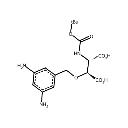 CC(C)(C)OC(=O)N[C@H](C(=O)O)[C@H](OCc1cc(N)cc(N)c1)C(=O)O